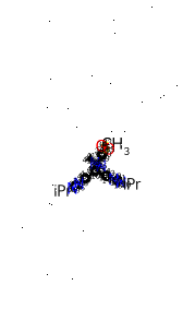 CC(C)N1CCN(c2ccc(-c3cc(-c4ccc(N5CCN(C(C)C)CC5)cc4)c4nc(-c5ccc(S(C)(=O)=O)cc5)n(C5CC5)c4c3)cc2)CC1